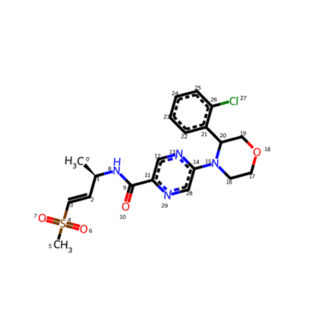 C[C@H](/C=C/S(C)(=O)=O)NC(=O)c1cnc(N2CCOCC2c2ccccc2Cl)cn1